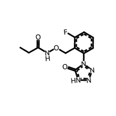 CCC(=O)NOCc1c(F)cccc1-n1nn[nH]c1=O